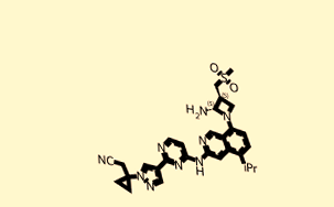 CC(C)c1ccc(N2C[C@H](CS(C)(=O)=O)[C@H]2N)c2cnc(Nc3ccnc(-c4cnn(C5(CC#N)CC5)c4)n3)cc12